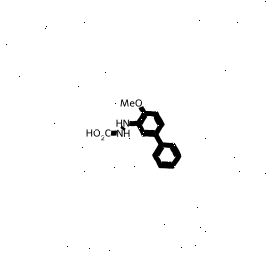 COc1ccc(-c2ccccc2)cc1NNC(=O)O